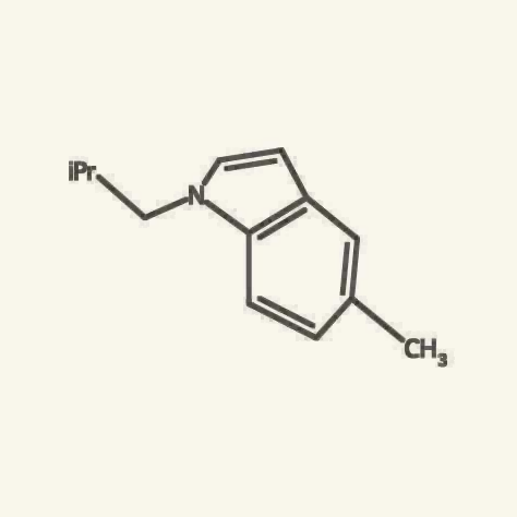 Cc1ccc2c(ccn2CC(C)C)c1